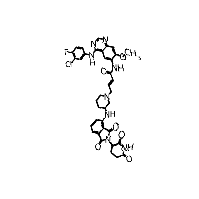 COc1cc2ncnc(Nc3ccc(F)c(Cl)c3)c2cc1NC(=O)/C=C/CN1CCCC(Nc2cccc3c2C(=O)N(C2CCC(=O)NC2=O)C3=O)C1